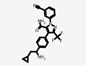 N#Cc1cccc(-n2nc(C(F)(F)F)c(-c3ccc(C(N)CC4CC4)cc3)c2C(N)=O)c1